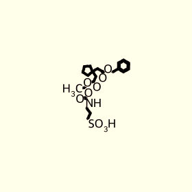 CC(OC(=O)CC1(CC(=O)OCc2ccccc2)CCCC1)OC(=O)NCCCS(=O)(=O)O